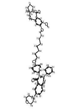 COc1cc2c(cc1OCCCCCCCCOc1ccc(-n3c(-c4ccccc4)nc4ccc(N5CCOCC5)cc4c3=O)cc1)N=C[C@@H]1CCCN1C2=O